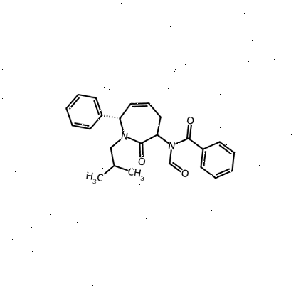 CC(C)CN1C(=O)C(N(C=O)C(=O)c2ccccc2)CC=C[C@H]1c1ccccc1